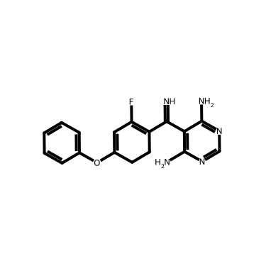 N=C(C1=C(F)C=C(Oc2ccccc2)CC1)c1c(N)ncnc1N